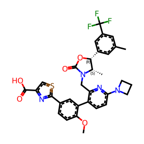 COc1ccc(-c2nc(C(=O)O)cs2)cc1-c1ccc(N2CCC2)nc1CN1C(=O)O[C@H](c2cc(C)cc(C(F)(F)F)c2)[C@@H]1C